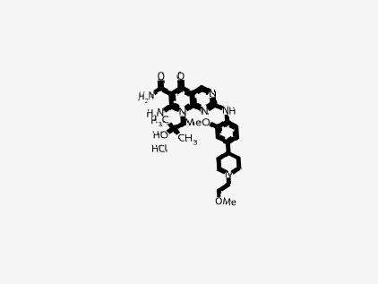 COCCN1CCC(c2ccc(Nc3ncc4c(=O)c(C(N)=O)c(N)n(CC(C)(C)O)c4n3)c(OC)c2)CC1.Cl